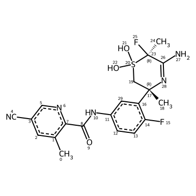 Cc1cc(C#N)cnc1C(=O)Nc1ccc(F)c([C@]2(C)CS(O)(O)[C@@](C)(F)C(N)=N2)c1